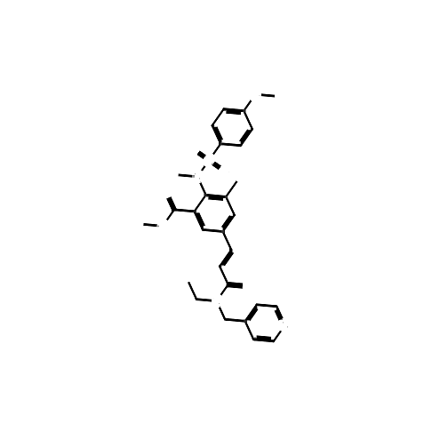 CCN(Cc1ccncc1)C(=O)/C=C/c1cc(C)c(N(C)S(=O)(=O)c2ccc(OC)cc2)c(C(=O)OC)c1